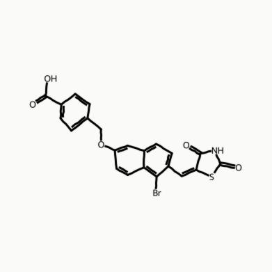 O=C1NC(=O)/C(=C\c2ccc3cc(OCc4ccc(C(=O)O)cc4)ccc3c2Br)S1